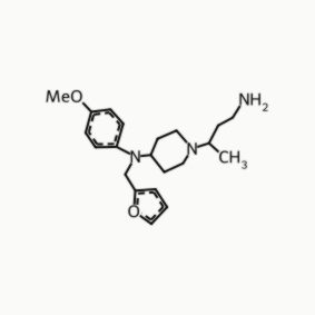 COc1ccc(N(Cc2ccco2)C2CCN(C(C)CCN)CC2)cc1